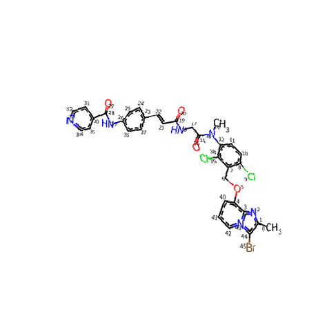 Cc1nc2c(OCc3c(Cl)ccc(N(C)C(=O)CNC(=O)C=Cc4ccc(NC(=O)c5ccncc5)cc4)c3Cl)cccn2c1Br